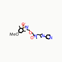 COc1cc(C)c([S+]([O-])N(C)CCOCC(=O)N(C)CC2CN(c3ccncc3)C2)c(C)c1